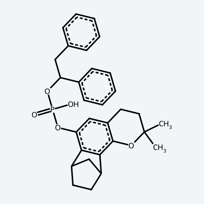 CC1(C)CCc2cc(OP(=O)(O)OC(Cc3ccccc3)c3ccccc3)c3c(c2O1)C1CCC3C1